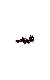 CCc1cc(Nc2ncc(CC)c(Nc3ccc4nccnc4c3N(C)S(C)(=O)=O)n2)c(OC(F)(F)F)cc1N1CCC(N2CCN(C)CC2)CC1